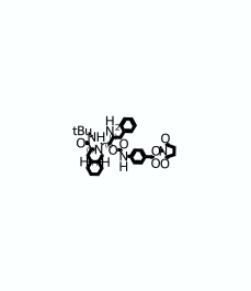 CC(C)(C)NC(=O)[C@@H]1C[C@@H]2CCCC[C@@H]2CN1C[C@@H](OC(=O)Nc1ccc(C(=O)ON2C(=O)CCC2=O)cc1)[C@@H](N)Cc1ccccc1